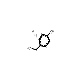 CCc1ccc(O)cc1.Cl.[Zr]